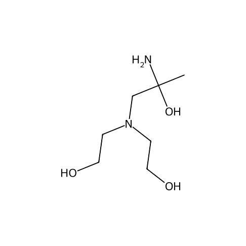 CC(N)(O)CN(CCO)CCO